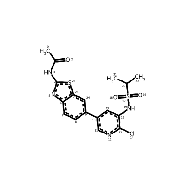 CC(=O)Nc1nc2ccc(-c3cnc(Cl)c(NS(=O)(=O)C(C)C)c3)cc2s1